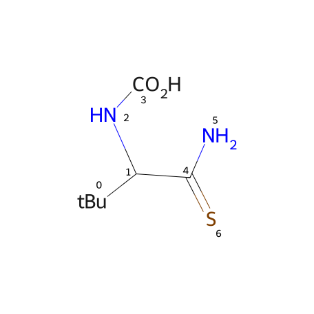 CC(C)(C)C(NC(=O)O)C(N)=S